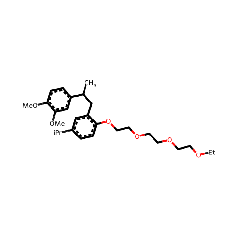 CCOCCOCCOCCOc1ccc(C(C)C)cc1CC(C)c1ccc(OC)c(OC)c1